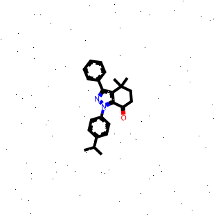 CC(C)c1ccc(-n2nc(-c3ccccc3)c3c2C(=O)CCC3(C)C)cc1